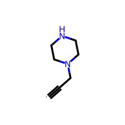 [C]#CCN1CCNCC1